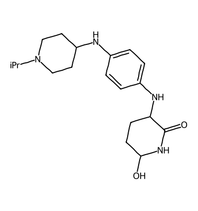 CC(C)N1CCC(Nc2ccc(NC3CCC(O)NC3=O)cc2)CC1